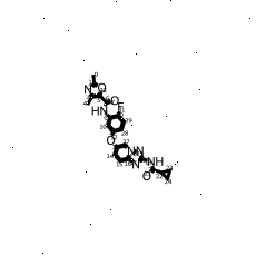 Cc1nc(C)c(C(=O)Nc2cc(Oc3ccc4nc(NC(=O)C5CC5)nn4c3)ccc2F)o1